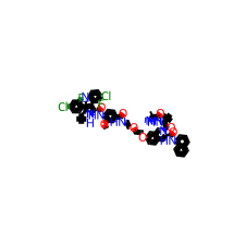 CN[C@@H](C)C(=O)N[C@H](C(=O)N1Cc2cc(OCCOCCNC(=O)c3ccc(NC(=O)[C@@H]4N[C@@H](CC(C)(C)C)[C@](C#N)(c5ccc(Cl)cc5F)[C@H]4c4cccc(Cl)c4F)c(OC)c3)ccc2C[C@H]1C(=O)NC1CCCc2ccccc21)C(C)(C)C